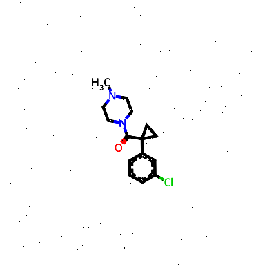 CN1CCN(C(=O)C2(c3cccc(Cl)c3)CC2)CC1